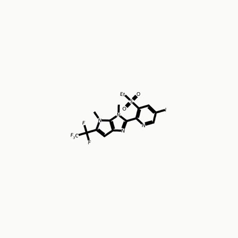 CCS(=O)(=O)c1cc(I)cnc1-c1nc2cc(C(F)(F)C(F)(F)F)n(C)c2n1C